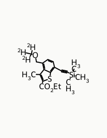 [2H]C([2H])([2H])OCc1ccc(C#C[Si](C)(C)C)c2sc(C(=O)OCC)c(C)c12